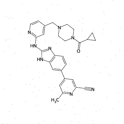 Cc1cc(-c2ccc3nc(Nc4cc(CN5CCN(C(=O)C6CC6)CC5)ccn4)[nH]c3c2)cc(C#N)n1